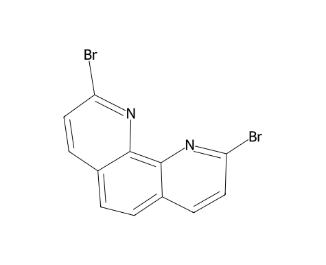 Brc1ccc2ccc3ccc(Br)nc3c2n1